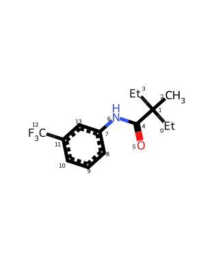 CCC(C)(CC)C(=O)Nc1cccc(C(F)(F)F)c1